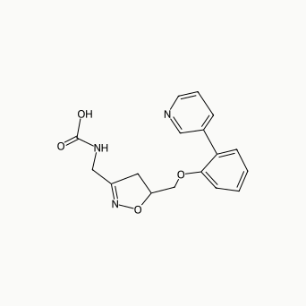 O=C(O)NCC1=NOC(COc2ccccc2-c2cccnc2)C1